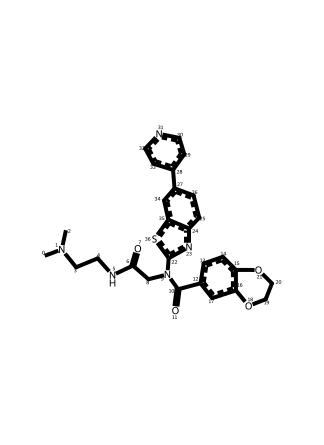 CN(C)CCNC(=O)CN(C(=O)c1ccc2c(c1)OCCO2)c1nc2ccc(-c3ccncc3)cc2s1